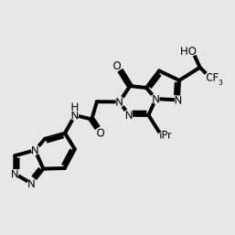 CC(C)c1nn(CC(=O)Nc2ccc3nncn3c2)c(=O)c2cc(C(O)C(F)(F)F)nn12